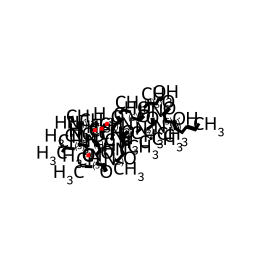 CC=CC[C@@H](C)[C@@H](O)[C@@H](C(=O)N[C@H](C(=O)O)[C@@H](C)O)N(C)C(=O)[C@H](C(C)C)N(C)C(=O)[C@H](CC(C)C)NC(=O)[C@H](CC(C)C)N(C)C(=O)[C@@H](C)NC(=O)[C@H](C)NC(=O)[C@H](CC(C)C)N(C)C(=O)[C@H](CC(C)C)NC(=O)[C@H](CC(C)C)N(C)C(=O)[C@@H](C)NC